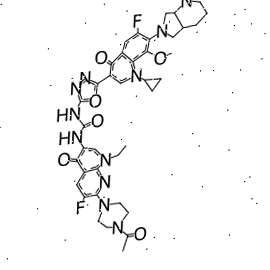 CCn1cc(NC(=O)Nc2nnc(-c3cn(C4CC4)c4c(OC)c(N5CC6CCCN(C)C6C5)c(F)cc4c3=O)o2)c(=O)c2cc(F)c(N3CCN(C(C)=O)CC3)nc21